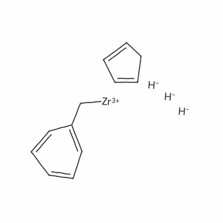 C1=CCC=C1.[H-].[H-].[H-].[Zr+3][CH2]c1ccccc1